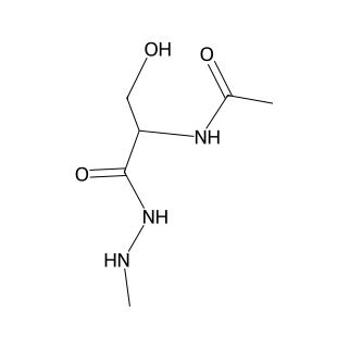 CNNC(=O)C(CO)NC(C)=O